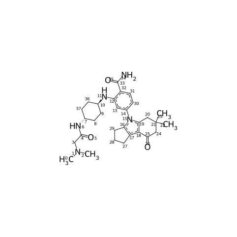 CN(C)CC(=O)N[C@H]1CC[C@H](Nc2cc(-n3c4c(c5c3CC(C)(C)CC5=O)CCC4)ccc2C(N)=O)CC1